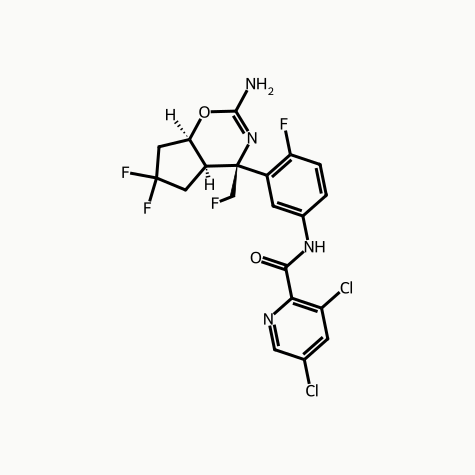 NC1=N[C@](CF)(c2cc(NC(=O)c3ncc(Cl)cc3Cl)ccc2F)[C@H]2CC(F)(F)C[C@H]2O1